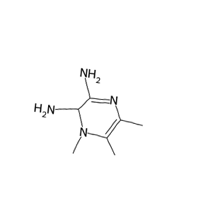 CC1=C(C)N(C)C(N)C(N)=N1